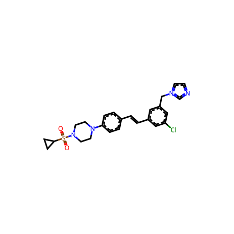 O=S(=O)(C1CC1)N1CCN(c2ccc(C=Cc3cc(Cl)cc(Cn4ccnc4)c3)cc2)CC1